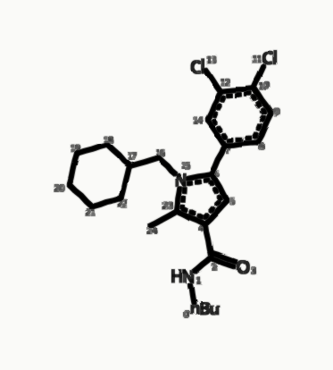 CCCCNC(=O)c1cc(-c2ccc(Cl)c(Cl)c2)n(CC2CCCCC2)c1C